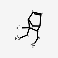 CC1(CO)C2C=CC(C2)C1CO